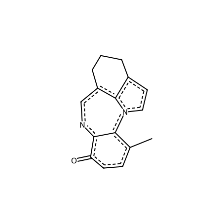 Cc1ccc(=O)c2ncc3c4c(ccn4c1-2)CCC3